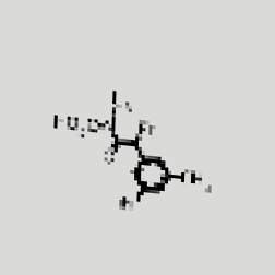 CCC(C(=O)N(C)C(=O)O)c1cc(C)cc(C(C)C)c1